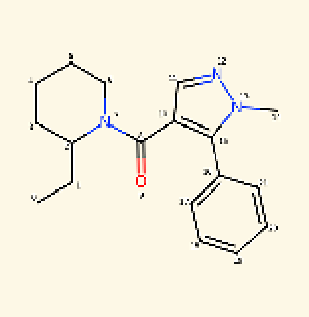 CCC1CCCCN1C(=O)c1cnn(C)c1-c1ccccc1